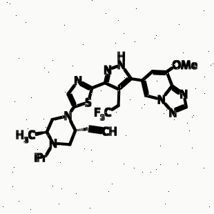 C#C[C@@H]1CN(C(C)C)[C@@H](C)CN1c1cnc(-c2n[nH]c(-c3cc(OC)c4ncnn4c3)c2CC(F)(F)F)s1